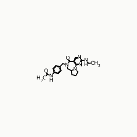 CCNc1ncc2c(n1)N1CCCC1CN(Cc1ccc(NC(C)=O)cc1)C2=O